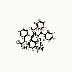 CCC(Oc1cccc(CC(N)=O)c1)N(Cc1cccc(C(F)(F)F)c1Cl)CC(c1ccccc1)c1ccccc1